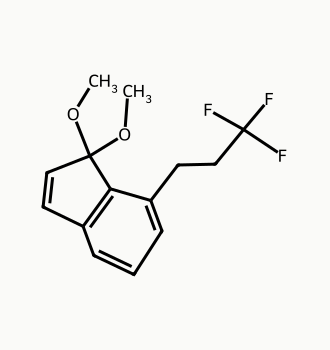 COC1(OC)C=Cc2cccc(CCC(F)(F)F)c21